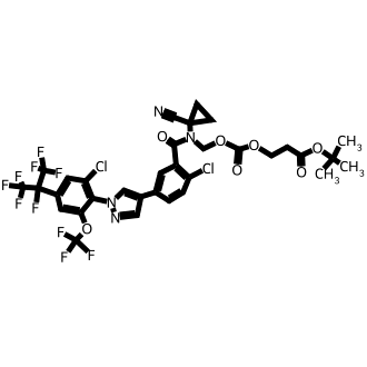 CC(C)(C)OC(=O)CCOC(=O)OCN(C(=O)c1cc(-c2cnn(-c3c(Cl)cc(C(F)(C(F)(F)F)C(F)(F)F)cc3OC(F)(F)F)c2)ccc1Cl)C1(C#N)CC1